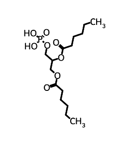 CCCCCC(=O)OCC(COP(=O)(O)O)OC(=O)CCCCC